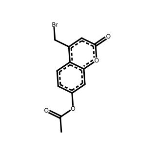 CC(=O)Oc1ccc2c(CBr)cc(=O)oc2c1